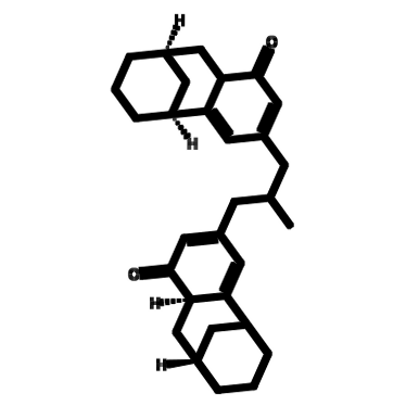 CC(CC1=CC(=O)C2C[C@@H]3CCC[C@@H](C3)C2=C1)CC1=CC(=O)[C@@H]2C[C@H]3CCCC(C3)C2=C1